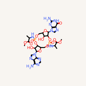 COC(=O)C(C)NP1(=O)OCC2OC(n3cnc4c(=O)[nH]c(N)nc43)C(OP(=O)(NC(C)C(=O)OC)OCC3OC(n4cnc5c(N)ncnc54)C(O)C3O1)C2O